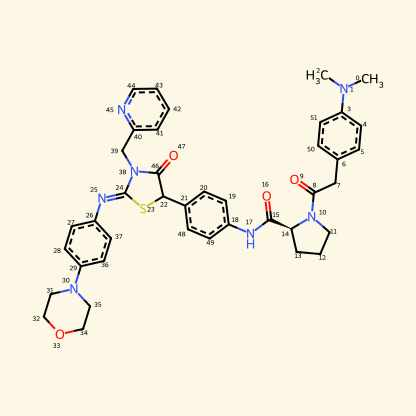 CN(C)c1ccc(CC(=O)N2CCC[C@H]2C(=O)Nc2ccc(C3S/C(=N\c4ccc(N5CCOCC5)cc4)N(Cc4ccccn4)C3=O)cc2)cc1